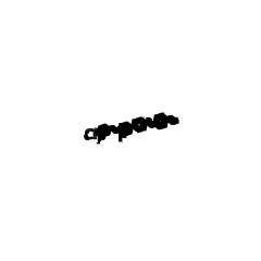 CCCC1CCC(CCC2CCC(c3ccc(CCc4ccc(Cl)c(F)c4)c(F)c3)CC2)CC1